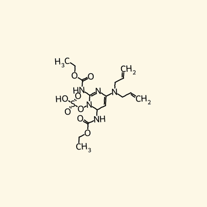 C=CCN(CC=C)C1=CC(NC(=O)OCC)N(OS(=O)(=O)O)C(NC(=O)OCC)=N1